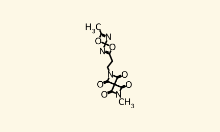 CC1=NC2(N=C(CCN3C(=O)C4(C(=O)N(C)C4=O)C3=O)O2)O1